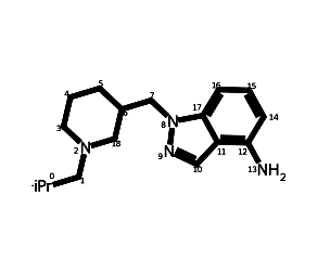 C[C](C)CN1CCCC(Cn2ncc3c(N)cccc32)C1